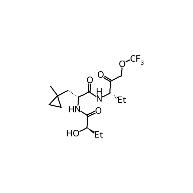 CC[C@@H](O)C(=O)N[C@H](CC1(C)CC1)C(=O)N[C@@H](CC)C(=O)COC(F)(F)F